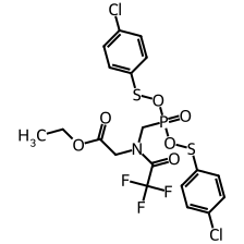 CCOC(=O)CN(CP(=O)(OSc1ccc(Cl)cc1)OSc1ccc(Cl)cc1)C(=O)C(F)(F)F